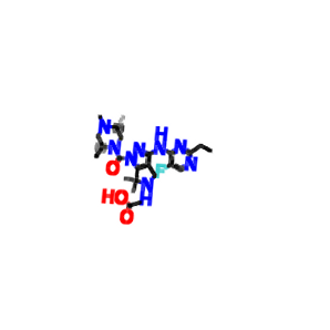 CC(=O)O.CCc1ncc(F)c(Nc2nn(C(=O)N3C[C@@H](C)N(C)C[C@@H]3C)c3c2CNC3(C)C)n1